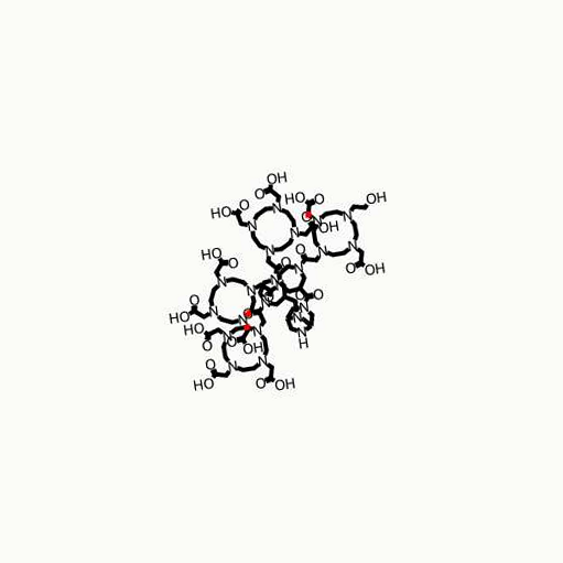 O=C(O)CN1CCN(CC(=O)O)CCN(CC(=O)N2CCN(C(=O)CN3CCN(CC(=O)O)CCN(CCO)CCN(CC(=O)O)CC3)CC(C(=O)N3CC4CN(C(=O)C5CN(C(=O)CN6CCN(CC(=O)O)CCN(CC(=O)O)CCN(CC(=O)O)CC6)CCN(C(=O)CN6CCN(CC(=O)O)CCN(CC(=O)O)CCN(CC(=O)O)CC6)C5)C(CN4)C3)C2)CCN(CC(=O)O)CC1